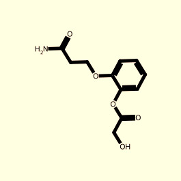 NC(=O)CCOc1ccccc1OC(=O)CO